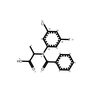 CC(C(=O)O)N(C(=O)c1ccccc1)c1cc(F)cc(Cl)c1